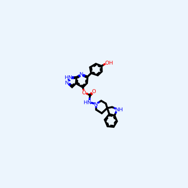 O=C(NN1CCC2(CC1)CNc1ccccc12)Oc1cc(-c2ccc(O)cc2)nc2[nH]ncc12